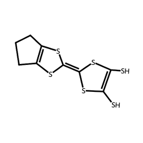 SC1=C(S)SC(=C2SC3=C(CCC3)S2)S1